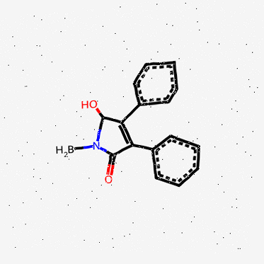 BN1C(=O)C(c2ccccc2)=C(c2ccccc2)C1O